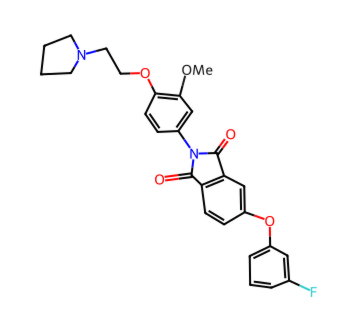 COc1cc(N2C(=O)c3ccc(Oc4cccc(F)c4)cc3C2=O)ccc1OCCN1CCCC1